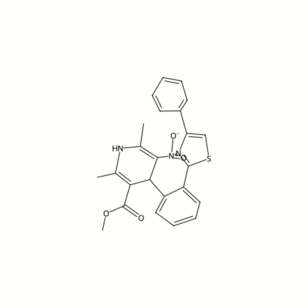 COC(=O)C1=C(C)NC(C)=C([N+](=O)[O-])C1c1ccccc1-c1nc(-c2ccccc2)cs1